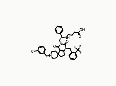 O=C(O)CCCN[C@@H](Cn1c(=O)c2c(n(Cc3ccccc3C(F)(F)F)c1=O)CCC21CCN(Cc2cccc(Cl)c2)CC1)c1ccccc1